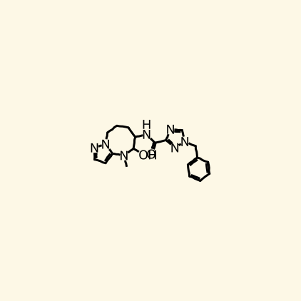 CN1c2ccnn2CCCC(NC(=O)c2ncn(Cc3ccccc3)n2)C1O